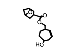 O=C(OCC1C=CCC(O)CC1)C1CC2CC(C1)O2